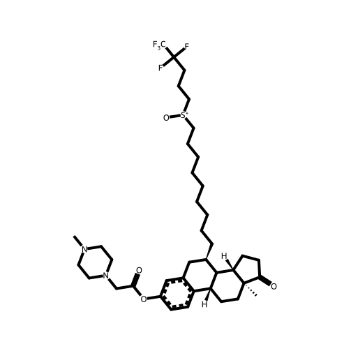 CN1CCN(CC(=O)Oc2ccc3c(c2)C[C@@H](CCCCCCCCC[S+]([O-])CCCC(F)(F)C(F)(F)F)C2[C@@H]3CC[C@]3(C)C(=O)CC[C@@H]23)CC1